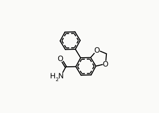 NC(=O)c1ccc2c(c1-c1ccccc1)OCO2